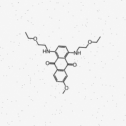 CCOCCNc1ccc(NCCOCC)c2c1C(=O)c1ccc(OC)cc1C2=O